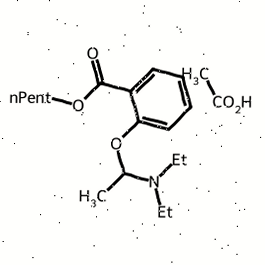 CC(=O)O.CCCCCOC(=O)c1ccccc1OC(C)N(CC)CC